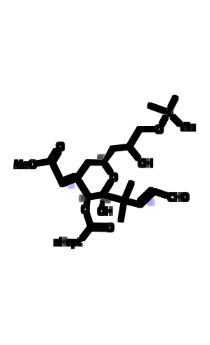 CCCCCCCC(=O)O[C@H]1/C(=C/C(=O)OC)C[C@@H](CC(O)CO[Si](C)(C)C(C)(C)C)O[C@@]1(O)C(C)(C)/C=C/C=O